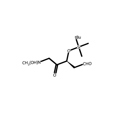 CN(O)CC(=O)[C@H](CC=O)O[Si](C)(C)C(C)(C)C